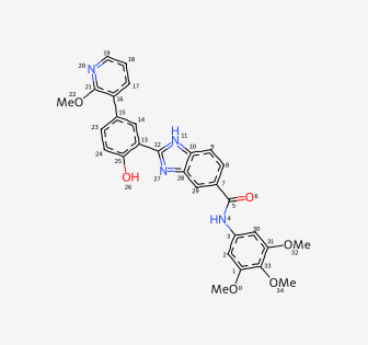 COc1cc(NC(=O)c2ccc3[nH]c(-c4cc(-c5cccnc5OC)ccc4O)nc3c2)cc(OC)c1OC